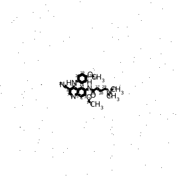 CCOc1cc2ncc(C#N)c(Nc3ccc(OC)cc3)c2cc1NC(=O)/C=C/CN(C)C